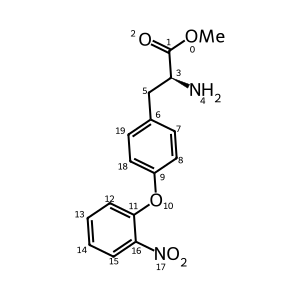 COC(=O)[C@@H](N)Cc1ccc(Oc2ccccc2[N+](=O)[O-])cc1